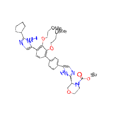 COCCOc1c(-c2ccc(-c3cnc([C@@H]4COCCN4C(=O)OC(C)(C)C)[nH]3)cc2)ccc(-c2cnc(C3CCCC3)[nH]2)c1OCCOC